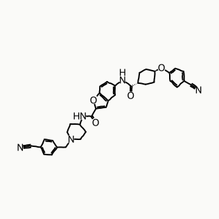 N#Cc1ccc(CN2CCC(NC(=O)c3cc4cc(NC(=O)[C@H]5CC[C@H](Oc6ccc(C#N)cc6)CC5)ccc4o3)CC2)cc1